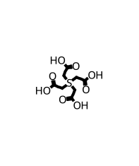 O=C(O)CS(CC(=O)O)(CC(=O)O)CC(=O)O